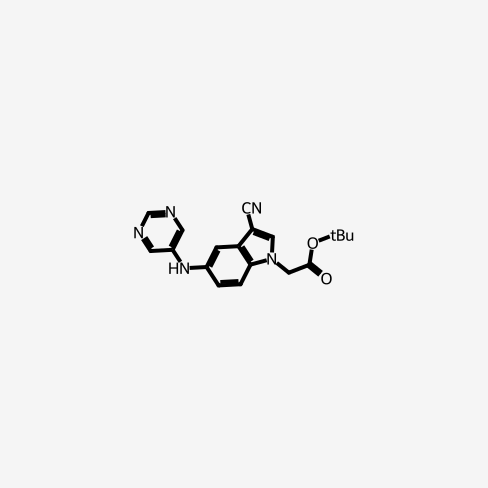 CC(C)(C)OC(=O)Cn1cc(C#N)c2cc(Nc3cncnc3)ccc21